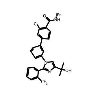 CC(C)NC(=O)c1ccc(-c2cccc(-n3cc(C(C)(C)O)nc3-c3ccccc3C(F)(F)F)c2)cc1Cl